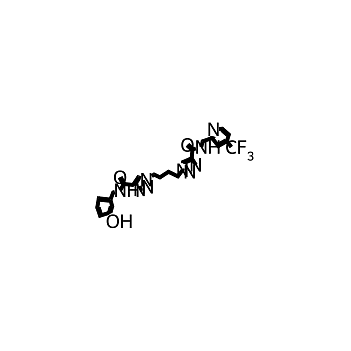 O=C(NCc1cccc(O)c1)c1cn(CCCCn2cc(C(=O)NCc3cc(C(F)(F)F)ccn3)nn2)nn1